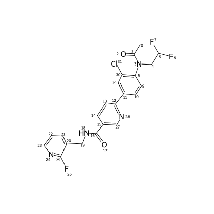 CC(=O)N(CC(F)F)c1ccc(-c2ccc(C(=O)NCc3cccnc3F)cn2)cc1Cl